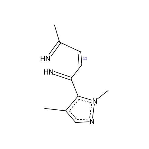 CC(=N)/C=C\C(=N)c1c(C)cnn1C